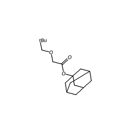 CC(C)(C)COCC(=O)OC12CC3CC(CC(C3)C1)C2